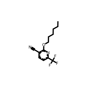 CCCCCCOc1nc(C(F)(F)F)ccc1C#N